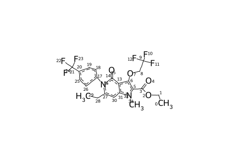 CCOC(=O)c1c(OCC(F)(F)F)c2c(=O)n(-c3ccc(C(F)(F)F)cc3)c(CC)cc2n1C